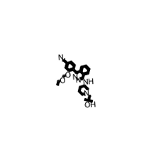 CCOCOc1cc(C#N)ccc1-c1nnc(NC2CCCN(CC(C)(C)O)C2)c2ccccc12